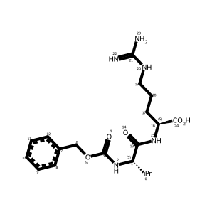 CC(C)[C@H](NC(=O)OCc1ccccc1)C(=O)N[C@@H](CCCNC(=N)N)C(=O)O